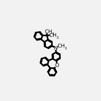 CN(c1ccc2c(c1)-c1ccccc1-c1ccccc1O2)c1ccc2c(c1)C(C)(C)c1ccccc1-2